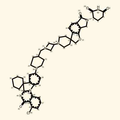 O=C1CC[C@H](N2Cc3c(ccc4c3OCC43CCN(C4CN(CC5CCN(c6ccc7c(c6)C6(CCCCC6)c6nc(=O)c8c(Cl)cccc8n6-7)CC5)C4)CC3)C2=O)C(=O)N1